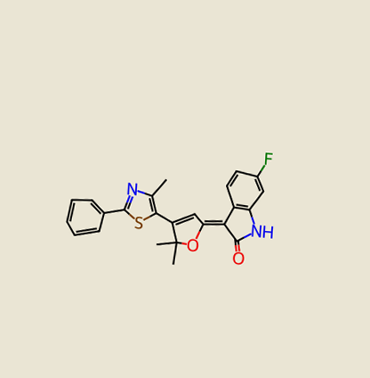 Cc1nc(-c2ccccc2)sc1C1=CC(=C2C(=O)Nc3cc(F)ccc32)OC1(C)C